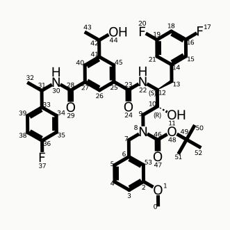 COc1cccc(CN(C[C@@H](O)[C@H](Cc2cc(F)cc(F)c2)NC(=O)c2cc(C(=O)NC(C)c3ccc(F)cc3)cc(C(C)O)c2)C(=O)OC(C)(C)C)c1